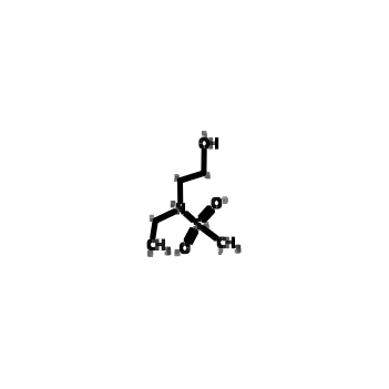 CCN(CCO)S(C)(=O)=O